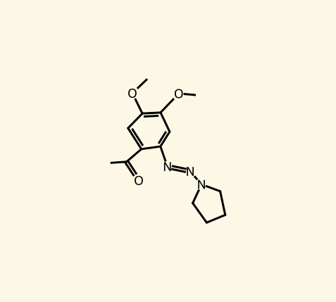 COc1cc(N=NN2CCCC2)c(C(C)=O)cc1OC